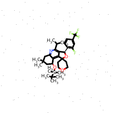 CC(C)c1nc2c(c3c1[C@@H](c1ccc(C(F)(F)F)cc1F)OC31CCOCC1)[C@@H](O[Si](C)(C)C(C)(C)C)CC(C)(C)C2